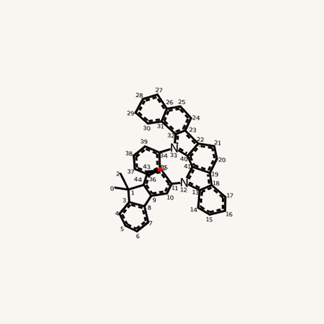 CC1(C)c2ccccc2-c2cc(-n3c4ccccc4c4ccc5c6ccc7ccccc7c6n(-c6ccccc6)c5c43)ccc21